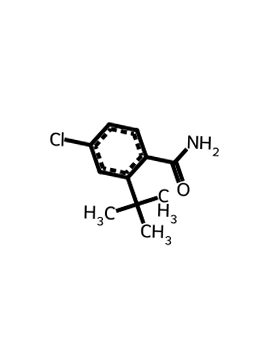 CC(C)(C)c1cc(Cl)ccc1C(N)=O